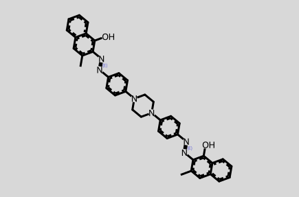 Cc1cc2ccccc2c(O)c1/N=N/c1ccc(N2CCN(c3ccc(/N=N/c4c(C)cc5ccccc5c4O)cc3)CC2)cc1